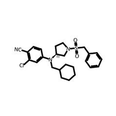 N#Cc1ccc(N(CC2CCCCC2)[C@H]2CCN(S(=O)(=O)Cc3ccccc3)C2)cc1Cl